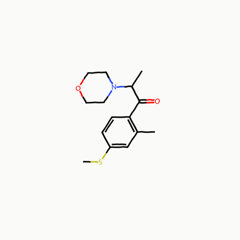 CSc1ccc(C(=O)C(C)N2CCOCC2)c(C)c1